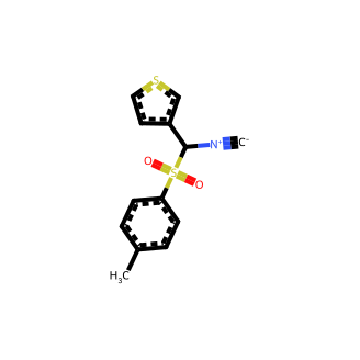 [C-]#[N+]C(c1ccsc1)S(=O)(=O)c1ccc(C)cc1